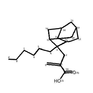 C=C(CC1(CCCCCC)C2CC3CC(C2)CC1C3)C(=O)O